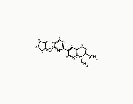 CC1CCc2cc(-c3cccc(OC4CCCC4)n3)ccc2N1C